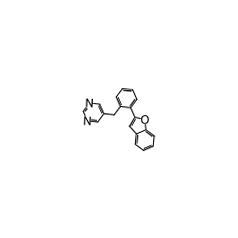 c1ccc(-c2cc3ccccc3o2)c(Cc2cncnc2)c1